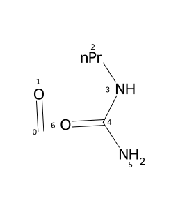 C=O.CCCNC(N)=O